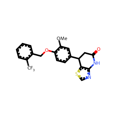 COc1cc(C2CC(=O)Nc3ncsc32)ccc1OCc1ccccc1C(F)(F)F